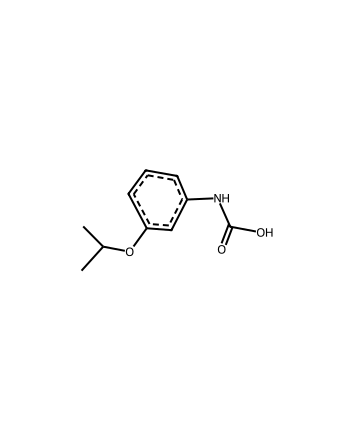 CC(C)Oc1cccc(NC(=O)O)c1